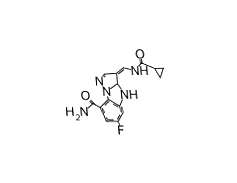 NC(=O)c1cc(F)cc2c1N1N=C/C(=C/NC(=O)C3CC3)C1N2